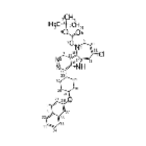 CC(C)(C)OC(=O)ON1CC=C(Cl)C=c2[nH]c3c(c21)CN=NC=3[C@H]1CC[C@H](Oc2ccc3ccccc3c2)CC1